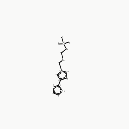 C[Si](C)(C)CCOCn1cc(-c2nccs2)cn1